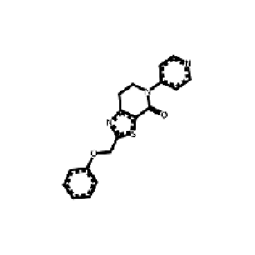 O=C1c2sc(COc3ccccc3)nc2CCN1c1ccncc1